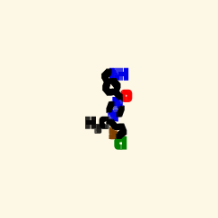 CC(c1ccc(Cl)s1)N1CCN(C(=O)c2ccc3cc[nH]c3c2)CC1